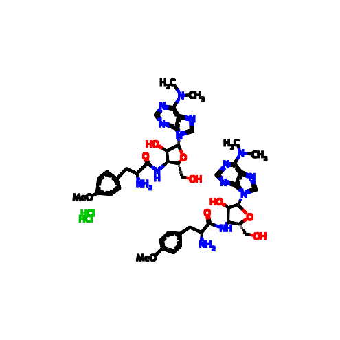 COc1ccc(C[C@H](N)C(=O)N[C@H]2[C@@H](O)[C@H](n3cnc4c(N(C)C)ncnc43)O[C@@H]2CO)cc1.COc1ccc(C[C@H](N)C(=O)N[C@H]2[C@@H](O)[C@H](n3cnc4c(N(C)C)ncnc43)O[C@@H]2CO)cc1.Cl.Cl